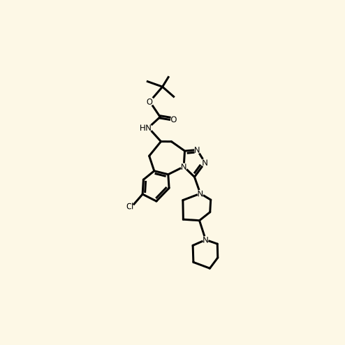 CC(C)(C)OC(=O)NC1Cc2cc(Cl)ccc2-n2c(nnc2N2CCC(N3CCCCC3)CC2)C1